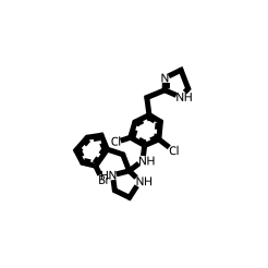 Clc1cc(CC2=NCCN2)cc(Cl)c1NC1(Cc2ccccc2Br)NCCN1